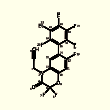 C#CCN1C(=O)C(F)(F)Oc2cc(F)c(-c3c(F)c(F)c(F)c(CC)c3F)cc21